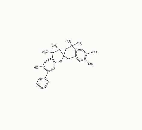 Cc1cc2c(cc1O)C(C)(C)CC1(C2)CC(C)(C)c2cc(O)c(-c3ccccc3)cc2O1